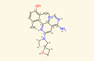 Cc1ccc(O)c(C)c1-c1nc(N2CC[C@@]3(CCO3)C2)cc2c(N)ncnc12